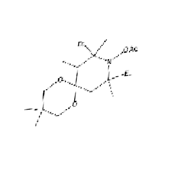 CCC1(C)CC2(OCC(C)(C)CO2)C(C)C(C)(CC)N1OC(C)=O